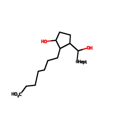 CCCCCCCC(O)C1CCC(O)C1CCCCCCC(=O)O